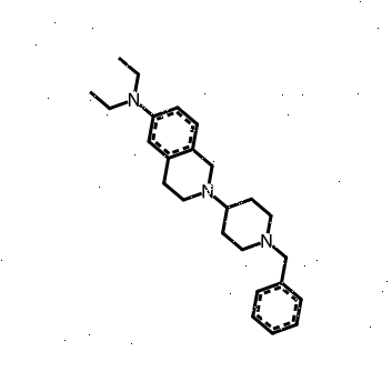 CCN(CC)c1ccc2c(c1)CCN(C1CCN(Cc3ccccc3)CC1)C2